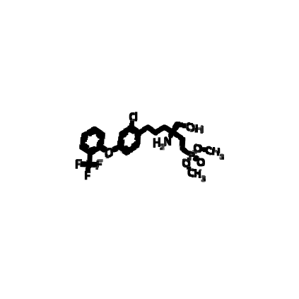 COP(=O)(CCC(N)(CO)CCCc1ccc(Oc2ccccc2C(F)(F)F)cc1Cl)OC